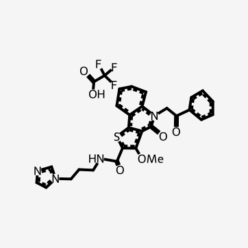 COc1c(C(=O)NCCCn2ccnc2)sc2c1c(=O)n(CC(=O)c1ccccc1)c1ccccc21.O=C(O)C(F)(F)F